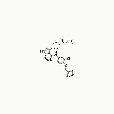 C=CC(=O)N1CCC(c2c[nH]c3ncnc(Nc4ccc(OCc5nccs5)c(Cl)c4)c23)CC1